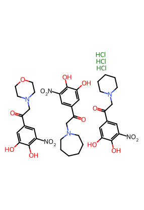 Cl.Cl.Cl.O=C(CN1CCCCC1)c1cc(O)c(O)c([N+](=O)[O-])c1.O=C(CN1CCCCCC1)c1cc(O)c(O)c([N+](=O)[O-])c1.O=C(CN1CCOCC1)c1cc(O)c(O)c([N+](=O)[O-])c1